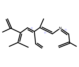 C=CC(=C\C(C(=C)C)=C(C)C)/C(C)=C/N=C\C(=C)C